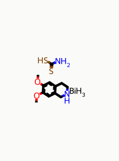 COc1cc2c(cc1OC)CNCC2.NC(=S)S.[BiH3]